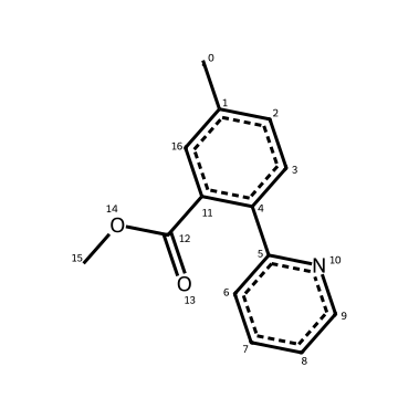 [CH2]c1ccc(-c2ccccn2)c(C(=O)OC)c1